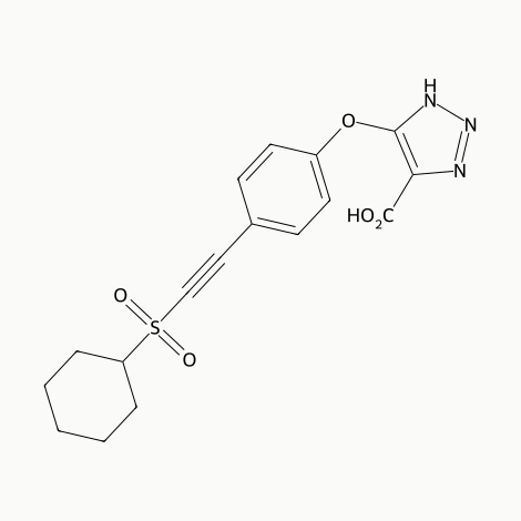 O=C(O)c1nn[nH]c1Oc1ccc(C#CS(=O)(=O)C2CCCCC2)cc1